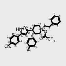 O=C(O[N+]1(CCc2ccccc2)CC[C@H](c2cc(-c3ccc(Cl)cc3)[nH]n2)[C@@H](c2ccc(F)cc2)C1)C(F)(F)F